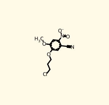 COc1cc([N+](=O)[O-])c(C#N)cc1OCCCCl